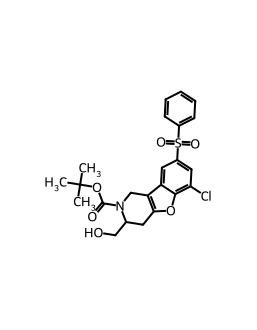 CC(C)(C)OC(=O)N1Cc2c(oc3c(Cl)cc(S(=O)(=O)c4ccccc4)cc23)CC1CO